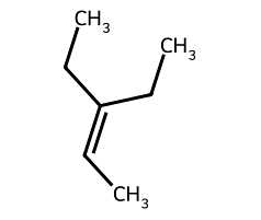 CC=C(CC)CC